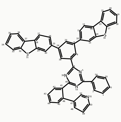 c1ccc(-c2nc(-c3cc(-c4ccc5c(c4)sc4ccccc45)cc(-c4ccc5c(c4)sc4ccccc45)c3)nc(-c3ccccc3-c3cccnc3)n2)cc1